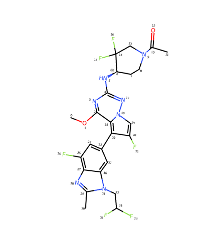 COc1nc(N[C@@H]2CCN(C(C)=O)CC2(F)F)nn2cc(F)c(-c3cc(F)c4nc(C)n(CC(F)F)c4c3)c12